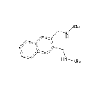 CC(C)(C)NCc1cc2ccccc2cc1CNC(C)(C)C